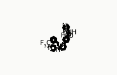 CN1CCC(N(C)[C@@]2(CCc3cccc(C(F)(F)F)c3)CCCN(c3ccc(S(=O)(=O)Nc4ccncn4)c(F)c3)C2)CC1